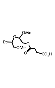 CCC(COC)OC(COC(=O)CCC(=O)O)OC